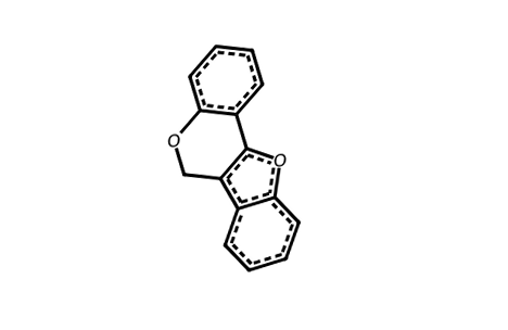 c1ccc2c(c1)OCc1c-2oc2ccccc12